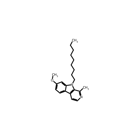 CCCCCCCCCn1c2cc(OC)ccc2c2ccnc(C)c21